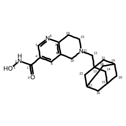 O=C(NO)c1cnc2c(c1)CN(CC13CC4CC(CC(C4)C1)C3)CC2